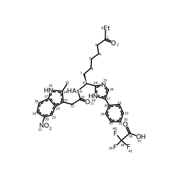 CCC(=O)CCCCC[C@H]([AsH]C(=O)Cc1c(C)[nH]c2ccc([N+](=O)[O-])cc12)c1ncc(-c2ccccc2)[nH]1.O=C(O)C(F)(F)F